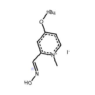 CCCCOc1cc[n+](C)c(/C=N/O)c1.[I-]